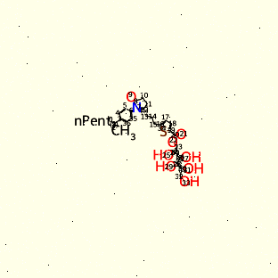 CCCCC[C@H](C)c1ccc(N2C(=O)CC[C@@H]2CCCc2ccc(C(=O)OC[C@@H](O)[C@H](O)[C@@H](O)[C@@H](O)CO)s2)cc1